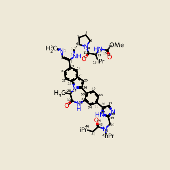 C=N/C=C(\NC[C@@H]1CCCN1C(=O)C(NC(=O)OC)C(C)C)c1ccc2c(c1)cc1n2C(C)C(=O)Nc2cc(-c3cnc(CN(CCC)C(=O)CC(C)C)[nH]3)ccc2-1